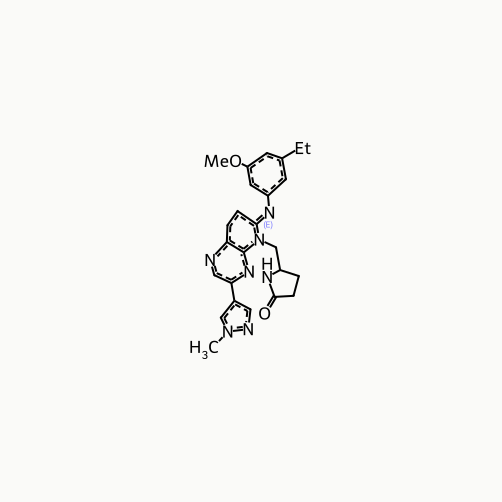 CCc1cc(/N=c2\ccc3ncc(-c4cnn(C)c4)nc3n2CC2CCC(=O)N2)cc(OC)c1